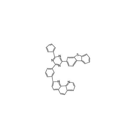 c1ccc(-c2nc(-c3cccc(-c4ccc5ccc6cccnc6c5n4)c3)nc(-c3ccc4c(c3)sc3ccccc34)n2)cc1